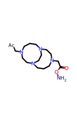 CC(=O)CN1CCCN2CCN(CCCN(CC(=O)ON)CC2)CC1